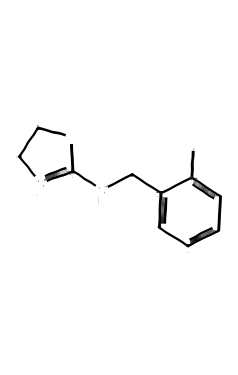 Clc1ccccc1CNC1=NCCS1